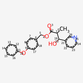 CC(C(=O)OCc1ccc(Oc2ccccc2)cc1)C(O)c1cccnc1